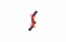 O=C1C(=CC2=Cc3sc4c(sc5cc(C=C6C(=O)c7cc8cc9ccccc9cc8cc7C6=O)sc54)c3C23CCCCC3)C(=O)c2cc3cc4ccccc4cc3cc21